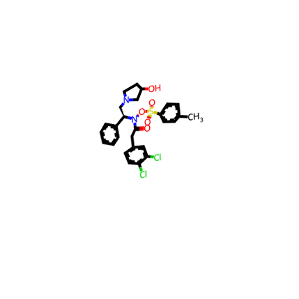 Cc1ccc(S(=O)(=O)ON(C(=O)Cc2ccc(Cl)c(Cl)c2)[C@H](CN2CCC(O)C2)c2ccccc2)cc1